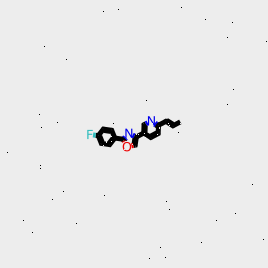 CC=Cc1ccc(-c2coc(-c3ccc(F)cc3)n2)cn1